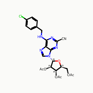 CC(=O)OC[C@@H]1O[C@@H](n2cnc3c(NCc4ccc(Cl)cc4)nc(C#N)nc32)[C@H](OC(C)=O)[C@@H]1OC(C)=O